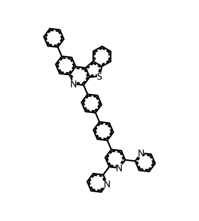 c1ccc(-c2ccc3nc(-c4ccc(-c5ccc(-c6cc(-c7ccccn7)nc(-c7ccccn7)c6)cc5)cc4)c4sc5ccccc5c4c3c2)cc1